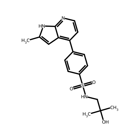 Cc1cc2c(-c3ccc(S(=O)(=O)NCC(C)(C)O)cc3)ccnc2[nH]1